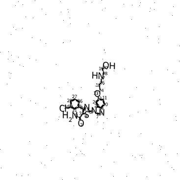 NC(=O)c1sc(-n2cnc3ccc(OCCCNCCO)cc32)nc1-c1cccc(Cl)c1